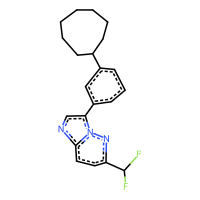 FC(F)c1ccc2ncc(-c3cccc(C4CCCCCCC4)c3)n2n1